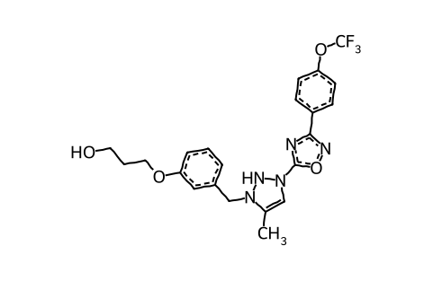 CC1=CN(c2nc(-c3ccc(OC(F)(F)F)cc3)no2)NN1Cc1cccc(OCCCO)c1